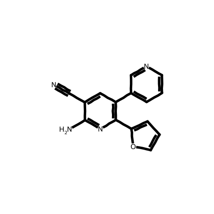 N#Cc1cc(-c2cccnc2)c(-c2ccco2)nc1N